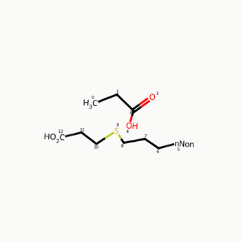 CCC(=O)O.CCCCCCCCCCCCSCCC(=O)O